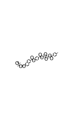 Cc1ccc(C(=O)OC2COC3C(OC(=O)c4ccc(OC(=O)c5ccc6cc(OCOC(C)C7(C)CO7)ccc6c5)cc4)COC23)cc1